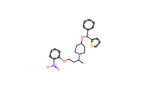 CC(CCOc1ccccc1[N+](=O)[O-])N1CCC(OC(c2ccccc2)c2cccs2)CC1